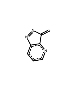 S=C1N=Nc2cccnc21